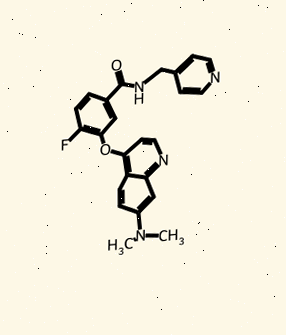 CN(C)c1ccc2c(Oc3cc(C(=O)NCc4ccncc4)ccc3F)ccnc2c1